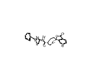 O=C1O[C@]2(CC[C@@H](C(=O)Nc3cnn(-c4ccccc4)n3)CC2)c2cnccc21